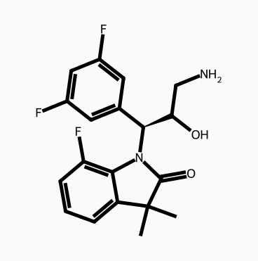 CC1(C)C(=O)N([C@@H](c2cc(F)cc(F)c2)C(O)CN)c2c(F)cccc21